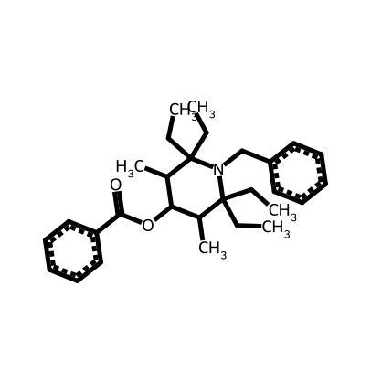 CCC1(CC)C(C)C(OC(=O)c2ccccc2)C(C)C(CC)(CC)N1Cc1ccccc1